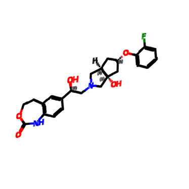 O=C1Nc2ccc([C@@H](O)CN3C[C@H]4C[C@H](Oc5ccccc5F)C[C@@]4(O)C3)cc2CCO1